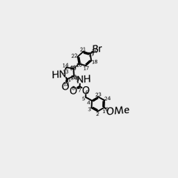 COc1ccc(COC(=O)N[C@@H]2C(=O)NC[C@H]2c2ccc(Br)cc2)cc1